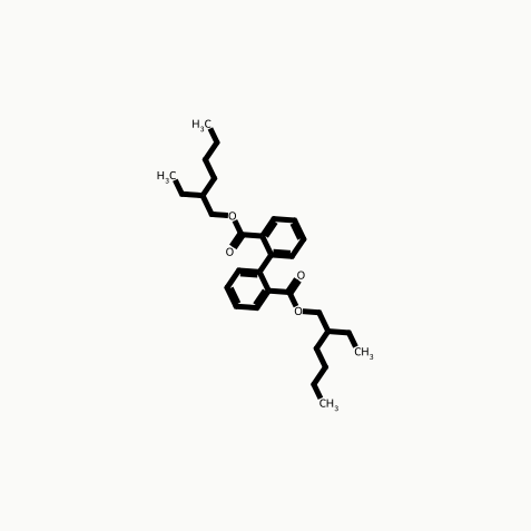 CCCCC(CC)COC(=O)c1ccccc1-c1ccccc1C(=O)OCC(CC)CCCC